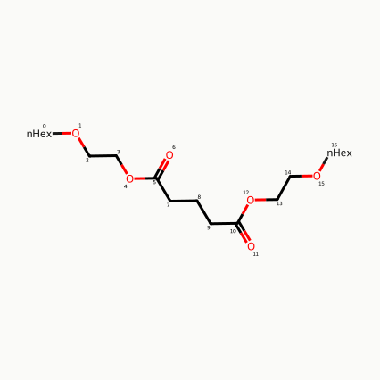 CCCCCCOCCOC(=O)CCCC(=O)OCCOCCCCCC